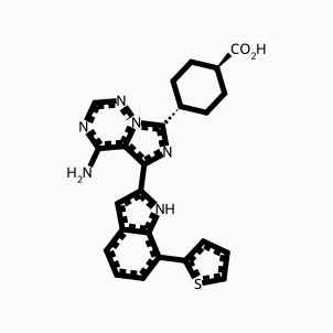 Nc1ncnn2c1c(-c1cc3cccc(-c4cccs4)c3[nH]1)nc2[C@H]1CC[C@H](C(=O)O)CC1